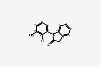 O=C1Cc2ccccc2N1c1cccc(Cl)c1Cl